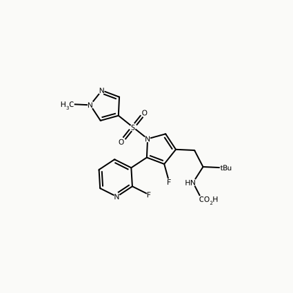 Cn1cc(S(=O)(=O)n2cc(CC(NC(=O)O)C(C)(C)C)c(F)c2-c2cccnc2F)cn1